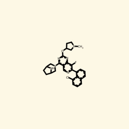 CN1CCC(Oc2nc(N3CC4CCC(C3)N4)c3cnc(-c4cccc5cccc(Cl)c45)c(F)c3n2)C1